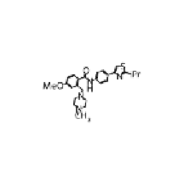 COc1ccc(C(=O)Nc2ccc(-c3csc(C(C)C)n3)cc2)c(CN2CCN(C)CC2)c1